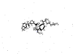 C/C=C(/NC(=O)C1CCCN(S(=O)(=O)c2ccc3c(c2)OCO3)C1)c1cccc(C(=O)N(C)CCCOC)c1